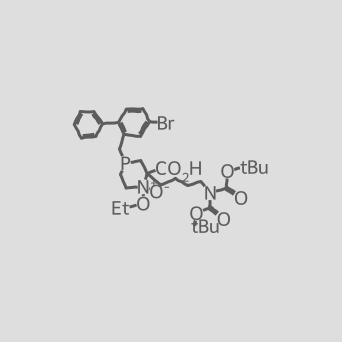 CCO[N+]1([O-])CCP(Cc2cc(Br)ccc2-c2ccccc2)CC1(CCCCN(C(=O)OC(C)(C)C)C(=O)OC(C)(C)C)C(=O)O